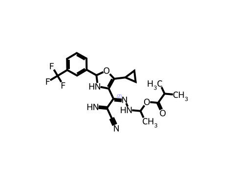 CC(N/N=C(\C(=N)C#N)C1=C(C2CC2)OC(c2cccc(C(F)(F)F)c2)N1)OC(=O)C(C)C